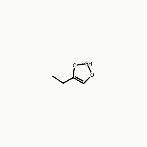 CCC1=COBO1